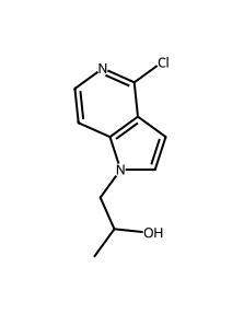 CC(O)Cn1ccc2c(Cl)nccc21